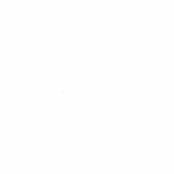 [O]C(Br)Cc1ccccc1